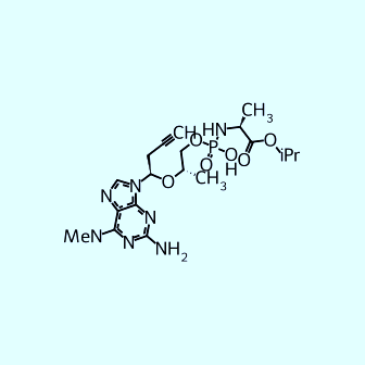 C#CC[C@@H](O[C@@H](C)COP(=O)(O)N[C@@H](C)C(=O)OC(C)C)n1cnc2c(NC)nc(N)nc21